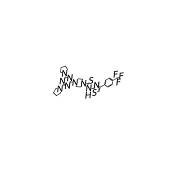 FC(F)(F)c1ccc(-c2csc(NC(=S)N3CCN(c4nc(N5CCCC5)nc(N5CCCC5)n4)CC3)n2)cc1